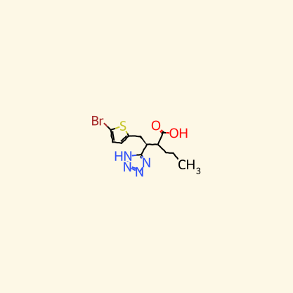 CCCC(C(=O)O)[C@H](Cc1ccc(Br)s1)c1nnn[nH]1